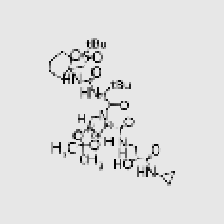 CC1(C)O[C@H]2[C@H](CN(C(=O)[C@@H](NC(=O)NC3(CS(=O)(=O)C(C)(C)C)CCCCC3)C(C)(C)C)[C@@H]2C(=O)NCC(O)C(=O)NC2CC2)O1